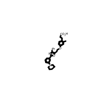 Cc1cc(OCCc2oc(-c3cccc(N4CCCCC4)c3)nc2C(C)C)ccc1CCC(=O)O